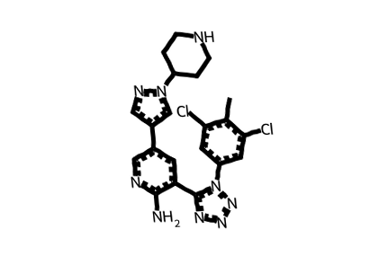 Cc1c(Cl)cc(-n2nnnc2-c2cc(-c3cnn(C4CCNCC4)c3)cnc2N)cc1Cl